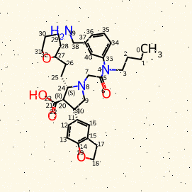 CCCCN(C(=O)CN1C[C@H](c2ccc3c(c2)CCO3)[C@@H](C(=O)O)[C@@H]1CCC1CCCCO1)c1cccc(CN)c1